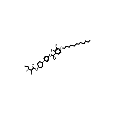 CCCCCCCCCCCCOc1ccc(C(=O)Oc2ccc([C@H]3CC[C@H](OC(=O)[C@@H](F)[C@@H](C)CC)CC3)cc2)c(F)c1F